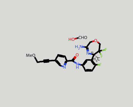 COCC#Cc1ccc(C(=O)Nc2ccc(F)c([C@@]3(C)N=C(N)COCC3(F)F)c2)nc1.O=CO